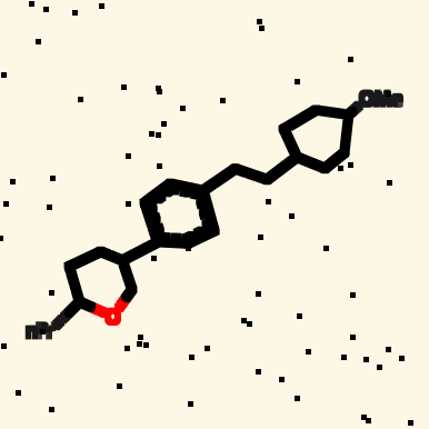 CCCC1CCC(c2ccc(CCC3CCC(OC)CC3)cc2)CO1